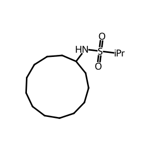 CC(C)S(=O)(=O)NC1CCCCCCCCCCCC1